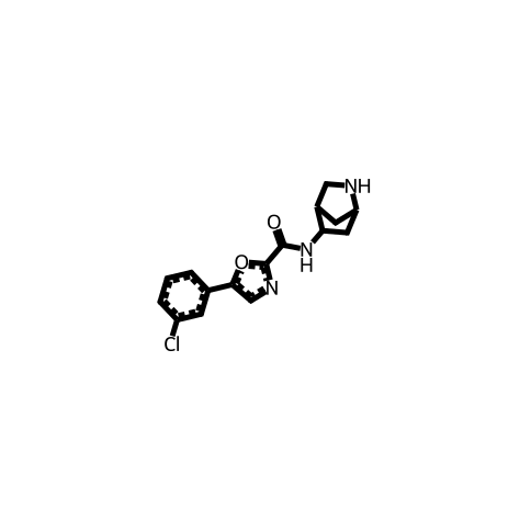 O=C(NC1CC2CC1CN2)c1ncc(-c2cccc(Cl)c2)o1